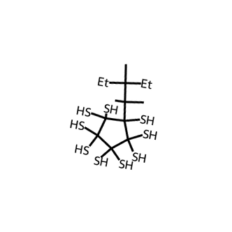 CCC(C)(CC)C(C)(C)C1(S)C(S)(S)C(S)(S)C(S)(S)C1(S)S